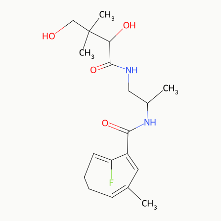 CC1=C/CC/C=C(F)/C(C(=O)NC(C)CNC(=O)C(O)C(C)(C)CO)=C\1